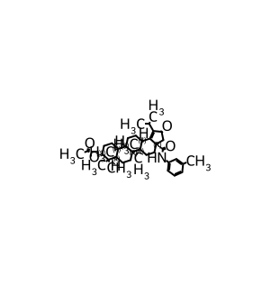 CC(=O)O[C@H]1CC[C@]2(C)[C@H]3CC[C@@H]4C5=C(C(C)C)C(=O)C[C@]5(C(=O)Nc5cccc(C)c5)CC[C@@]4(C)[C@]3(C)CC[C@H]2C1(C)C